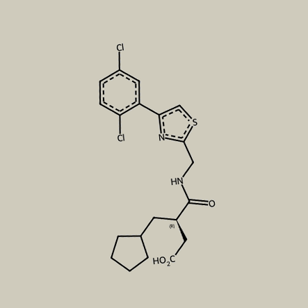 O=C(O)C[C@@H](CC1CCCC1)C(=O)NCc1nc(-c2cc(Cl)ccc2Cl)cs1